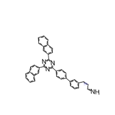 N=C/C=C\c1cccc(-c2ccc(-c3nc(-c4ccc5ccccc5c4)nc(-c4ccc5ccccc5c4)n3)cc2)c1